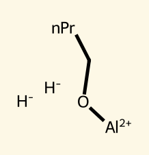 CCCC[O][Al+2].[H-].[H-]